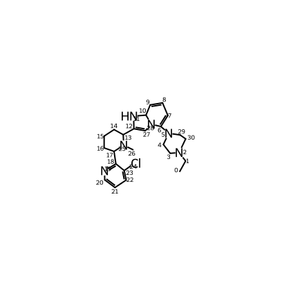 CCN1CCN(C2=CC=CC3NC(C4CCCC(c5ncccc5Cl)N4C)=CN23)CC1